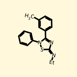 CCN=c1nc(-c2cccc(C)c2)n(-c2ccccc2)s1